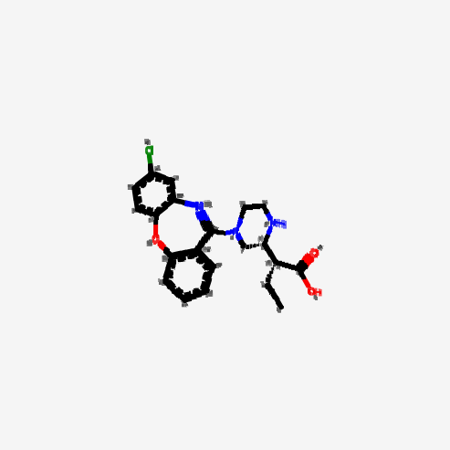 CC[C@@H](C(=O)O)[C@@H]1CN(C2=Nc3cc(Cl)ccc3Oc3ccccc32)CCN1